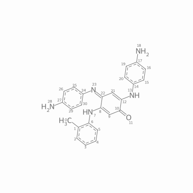 Cc1ccccc1NC1=CC(=O)C(Nc2ccc(N)cc2)=C/C1=N/c1ccc(N)cc1